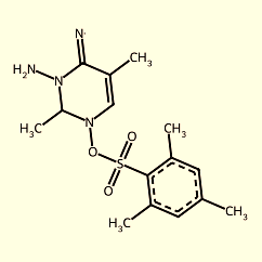 CC1=CN(OS(=O)(=O)c2c(C)cc(C)cc2C)C(C)N(N)C1=[N]